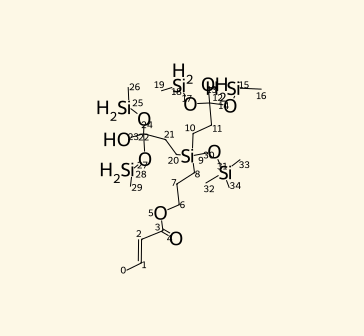 CC=CC(=O)OCCC[Si](CCC(O)(O[SiH2]C)O[SiH2]C)(CCC(O)(O[SiH2]C)O[SiH2]C)O[Si](C)(C)C